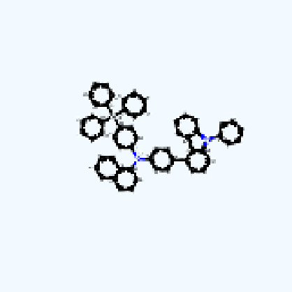 c1ccc(-n2c3ccccc3c3c(-c4ccc(N(c5ccc([Si](c6ccccc6)(c6ccccc6)c6ccccc6)cc5)c5cccc6ccccc56)cc4)cccc32)cc1